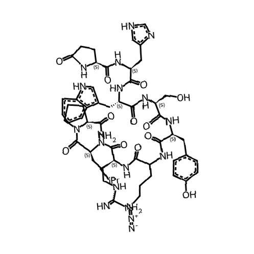 CC(C)C[C@H](NC(=O)C(CCCN=[N+]=[N-])NC(=O)[C@H](Cc1ccc(O)cc1)NC(=O)[C@H](CO)NC(=O)[C@H](Cc1c[nH]c2ccccc12)NC(=O)[C@H](Cc1c[nH]cn1)NC(=O)[C@@H]1CCC(=O)N1)C(=O)N[C@@H](CCCNC(=N)N)C(=O)N1CCC[C@H]1C(N)=O